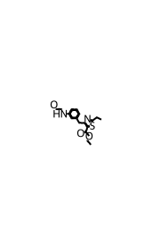 CCOC(=O)c1sc(CC)nc1Cc1cccc(NCC=O)c1